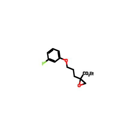 CCOC(=O)C1(CCCOc2cccc(F)c2)CO1